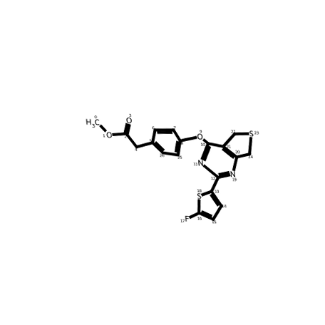 COC(=O)Cc1ccc(Oc2nc(-c3ccc(F)s3)nc3c2CSC3)cc1